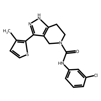 Cc1ccsc1-c1n[nH]c2c1CN(C(=O)Nc1cccc(Cl)c1)CC2